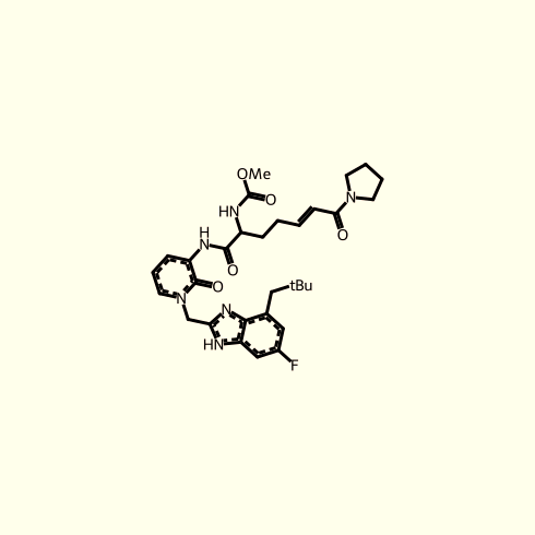 COC(=O)NC(CC/C=C/C(=O)N1CCCC1)C(=O)Nc1cccn(Cc2nc3c(CC(C)(C)C)cc(F)cc3[nH]2)c1=O